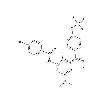 C/N=C(\N=C(/C)[C@H](CC(=O)N(C)C)NC(=O)c1ccc(O)cc1)c1ccc(OC(F)(F)F)cc1